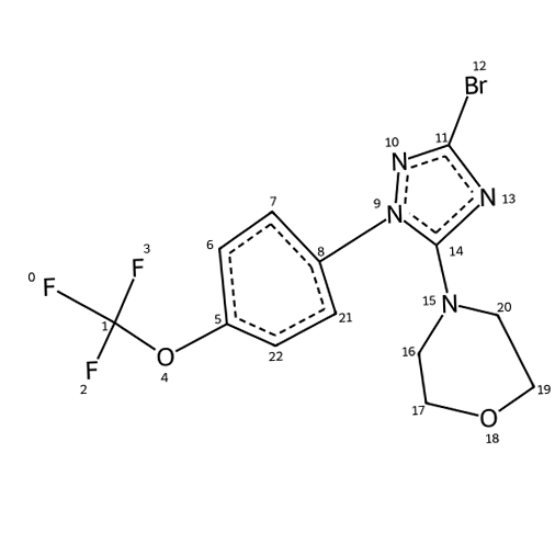 FC(F)(F)Oc1ccc(-n2nc(Br)nc2N2CCOCC2)cc1